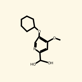 COc1cc(C(O)O)ncc1OC1CCCCC1